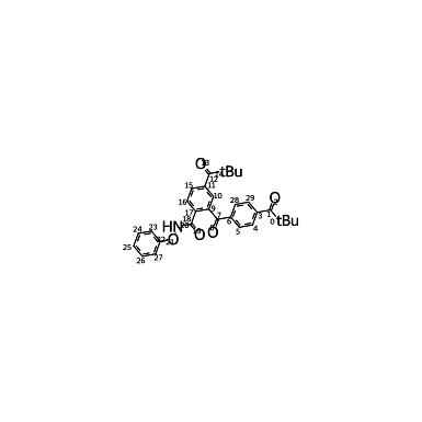 CC(C)(C)C(=O)c1ccc(C(=O)c2cc(C(=O)C(C)(C)C)ccc2C(=O)NOc2ccccc2)cc1